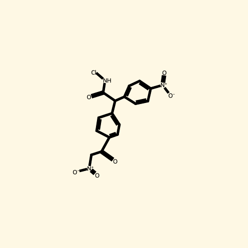 O=C(C[N+](=O)[O-])c1ccc(C(C(=O)NCl)c2ccc([N+](=O)[O-])cc2)cc1